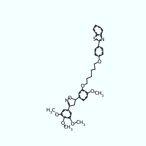 COc1ccc(C2CC(c3cc(OC)c(OC)c(OC)c3)=NO2)cc1OCCCCCCOc1ccc(-c2nc3ccccc3s2)cc1